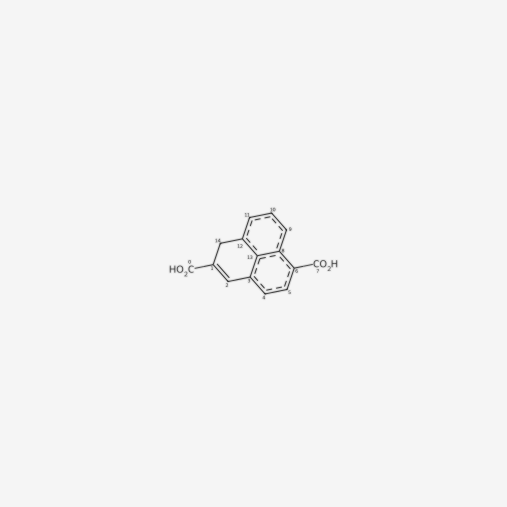 O=C(O)C1=Cc2ccc(C(=O)O)c3cccc(c23)C1